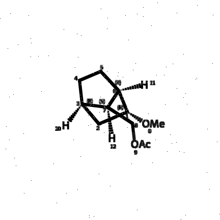 CO[C@@H]1C[C@H]2CC[C@@H]1[C@H]2COC(C)=O